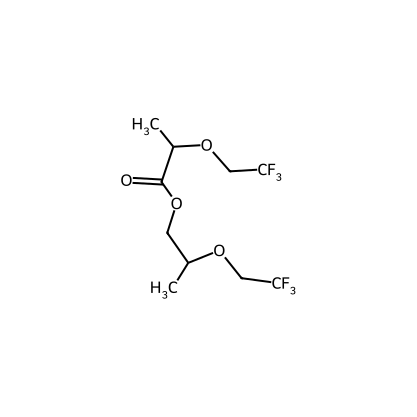 CC(COC(=O)C(C)OCC(F)(F)F)OCC(F)(F)F